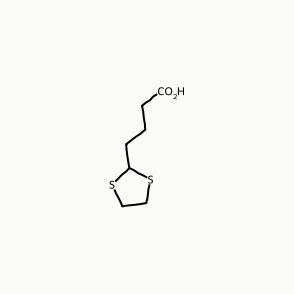 O=C(O)CCCC1SCCS1